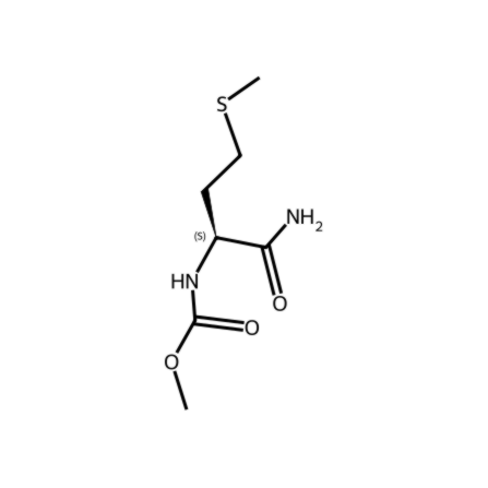 COC(=O)N[C@@H](CCSC)C(N)=O